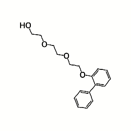 OCCOCCOCCOc1ccccc1-c1ccccc1